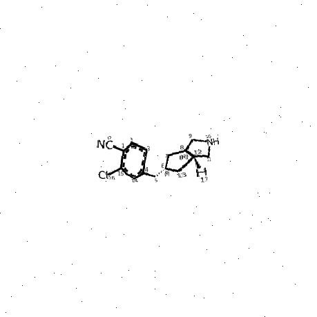 N#Cc1ccc(C[C@@H]2CC3CNC[C@@H]3C2)cc1Cl